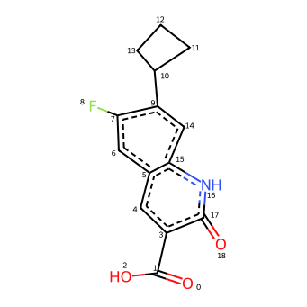 O=C(O)c1cc2cc(F)c(C3CCC3)cc2[nH]c1=O